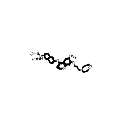 CCNN(C=O)c1ccc2cc(Oc3ccnc4cc(OCCCN5CCOCC5)c(OC)cc34)ccc2c1